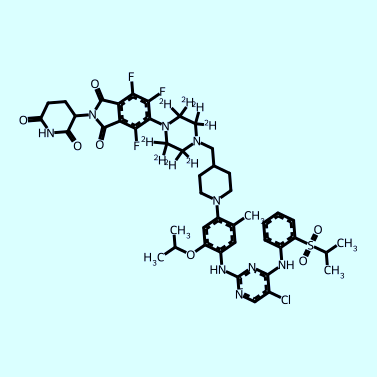 [2H]C1([2H])N(CC2CCN(c3cc(OC(C)C)c(Nc4ncc(Cl)c(Nc5ccccc5S(=O)(=O)C(C)C)n4)cc3C)CC2)C([2H])([2H])C([2H])([2H])N(c2c(F)c(F)c3c(c2F)C(=O)N(C2CCC(=O)NC2=O)C3=O)C1([2H])[2H]